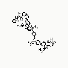 Cc1c(OC2CCC(CC[C@H](N3CCN(c4ccc5c(C6CCC(=O)NC6=O)nn(C)c5c4)CC3)C(F)(F)F)CC2)cccc1-c1ccc(N2CCc3cccc(C(=O)Nc4nc5ccccc5s4)c3C2)nc1C(=O)OC(C)(C)C